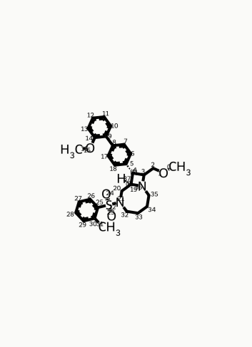 COCC1[C@@H](c2ccc(-c3ccccc3OC)cc2)[C@@H]2CN(S(=O)(=O)c3ccccc3C)CCCCN12